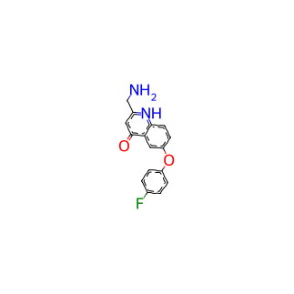 NCc1cc(=O)c2cc(Oc3ccc(F)cc3)ccc2[nH]1